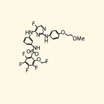 COCCOc1ccc(Nc2ncc(F)c(Nc3cccc(NS(=O)(=O)c4c(F)c(F)c(F)c(F)c4OCF)c3)n2)cc1